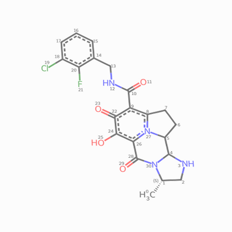 C[C@H]1CNC2C3CCc4c(C(=O)NCc5cccc(Cl)c5F)c(=O)c(O)c(n43)C(=O)N21